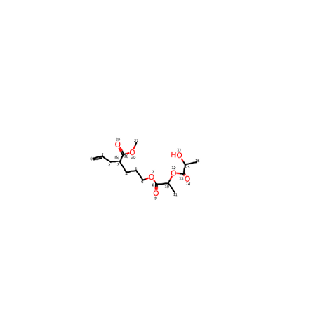 C=CC[C@H](CCCOC(=O)C(C)OC(=O)C(C)O)C(=O)OC